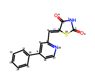 O=C1NC(=O)/C(=C/c2cc(-c3ccccc3)ccn2)S1